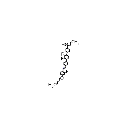 C=CCCCOc1ccc(/C=C/c2ccc(-c3ccc(-c4ccc(C(O)CCC)cc4)c(F)c3F)cc2)c(F)c1